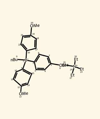 CCCC[B-](c1ccc(OC)cc1)(c1ccc(OC)cc1)c1ccc(OC)cc1.CC[N+](CC)(CC)CC